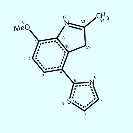 COc1ccc(-c2nccs2)c2c1N=C(C)C2